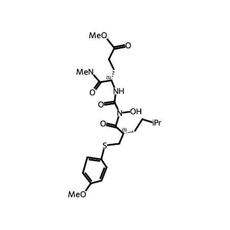 CNC(=O)[C@H](CCC(=O)OC)NC(=O)N(O)C(=O)[C@H](CCC(C)C)CSc1ccc(OC)cc1